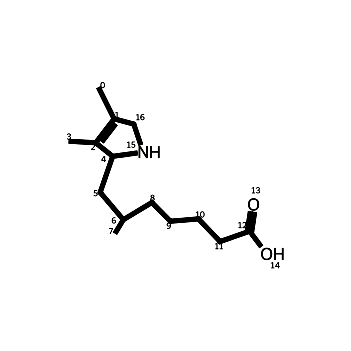 CC1=C(C)C(CC(C)CCCCC(=O)O)NC1